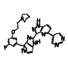 Fc1cc(OCCN2CCCC2)cc(-c2nccc3[nH]c(-c4n[nH]c5ccc(-c6cncnc6)nc45)nc23)c1